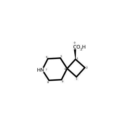 O=C(O)[C@H]1CCC12CCNCC2